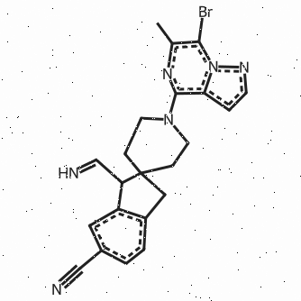 Cc1nc(N2CCC3(CC2)Cc2ccc(C#N)cc2C3C=N)c2ccnn2c1Br